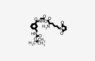 CC(C)(C)OC(=O)NCc1cccc(C(=O)NCC(=O)OC(=O)[C@H](N)CCCCN2C(=O)C=CC2=O)c1